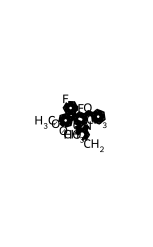 C=CCC(=NC1(C)C=CC(c2ccc(OC)c(OC)c2)(c2ccc(F)cc2F)C=C1C(=O)c1ccccc1)C(=O)O